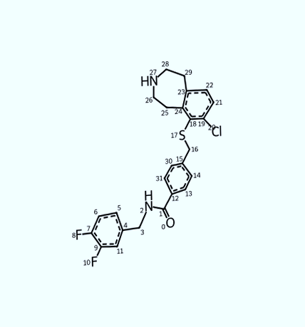 O=C(NCc1ccc(F)c(F)c1)c1ccc(CSc2c(Cl)ccc3c2CCNCC3)cc1